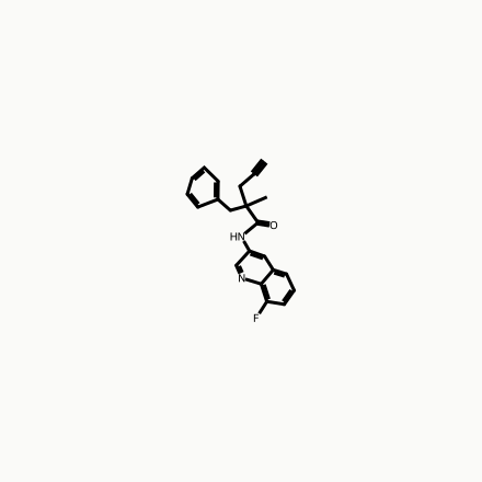 C#CCC(C)(Cc1ccccc1)C(=O)Nc1cnc2c(F)cccc2c1